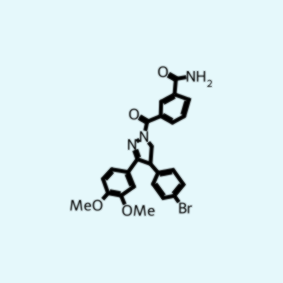 COc1ccc(C2=NN(C(=O)c3cccc(C(N)=O)c3)CC2c2ccc(Br)cc2)cc1OC